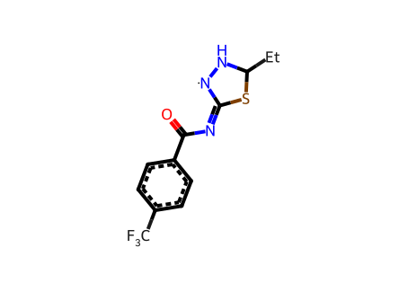 CCC1N[N]C(=NC(=O)c2ccc(C(F)(F)F)cc2)S1